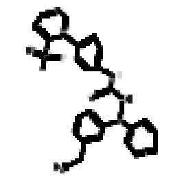 CS(=O)(=O)c1ccccc1-c1ccc(NC(=O)NN(c2ccccc2)c2cccc(CN)c2)cc1